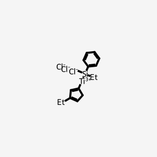 CCC1=CC[C]([Ti+3][Si](C)(CC)c2ccccc2)=C1.[Cl-].[Cl-].[Cl-]